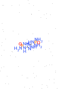 NP(N)(=O)Nc1n[nH]c(NP(N)(N)=O)n1